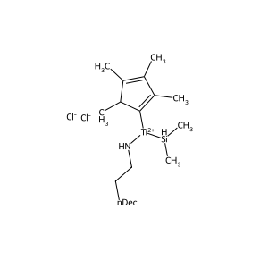 CCCCCCCCCCCC[NH][Ti+2]([C]1=C(C)C(C)=C(C)C1C)[SiH](C)C.[Cl-].[Cl-]